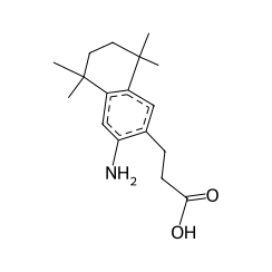 CC1(C)CCC(C)(C)c2cc(CCC(=O)O)c(N)cc21